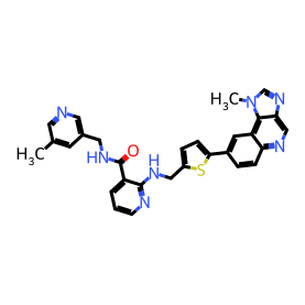 Cc1cncc(CNC(=O)c2cccnc2NCc2ccc(-c3ccc4ncc5ncn(C)c5c4c3)s2)c1